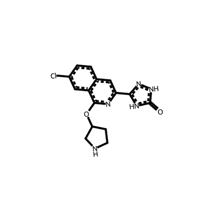 O=c1[nH]nc(-c2cc3ccc(Cl)cc3c(OC3CCNC3)n2)[nH]1